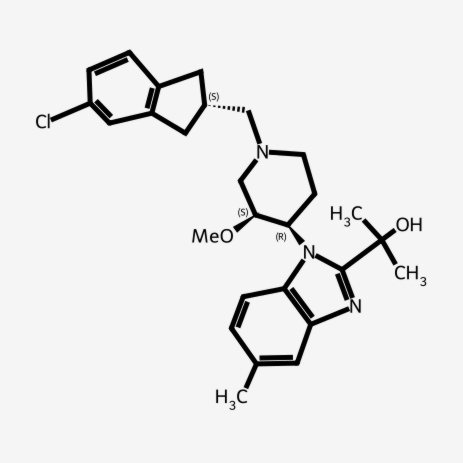 CO[C@H]1CN(C[C@H]2Cc3ccc(Cl)cc3C2)CC[C@H]1n1c(C(C)(C)O)nc2cc(C)ccc21